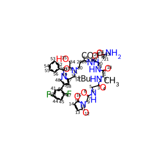 C[C@H](NC(=O)CNC(=O)CN1C(=O)C=CC1=O)C(=O)N[C@@H](CC(N)=O)C(=O)N[C@@H](CCN(C(=O)CO)[C@@H](c1cc(-c2cc(F)ccc2F)cn1Cc1ccccc1)C(C)(C)C)C(=O)O